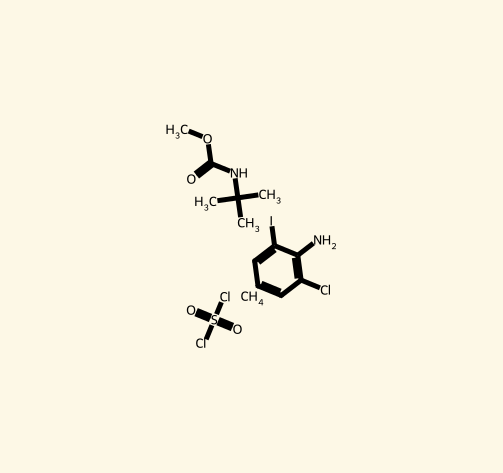 C.COC(=O)NC(C)(C)C.Nc1c(Cl)cccc1I.O=S(=O)(Cl)Cl